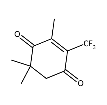 CC1=C(C(F)(F)F)C(=O)CC(C)(C)C1=O